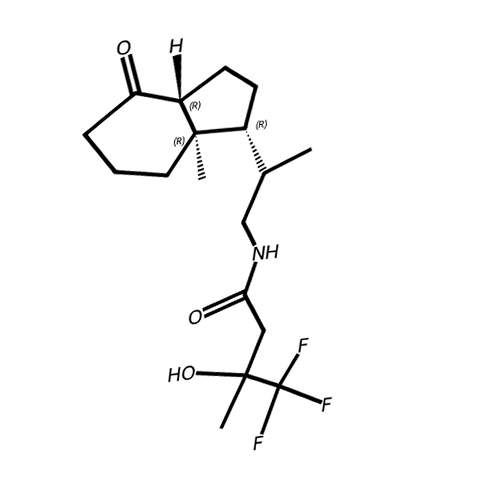 CC(CNC(=O)CC(C)(O)C(F)(F)F)[C@H]1CC[C@H]2C(=O)CCC[C@]12C